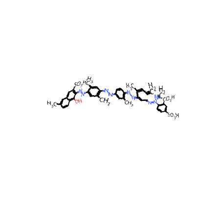 C=C\C=C(C)/C(=C\C=N\N(N=C)c1ccc(S(=O)(=O)O)cc1C(=O)O)N=Nc1ccc(N=Nc2cc(C)c(N=Nc3c(S(=O)(=O)O)cc4cc(C)ccc4c3O)cc2C)cc1C